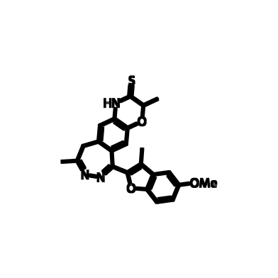 COc1ccc2oc(C3=NN=C(C)Cc4cc5c(cc43)OC(C)C(=S)N5)c(C)c2c1